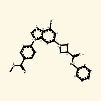 COC(=O)c1ccc(-n2cnc3c(F)cc(N4CC(C(=O)Nc5ccccc5)C4)cc32)cc1